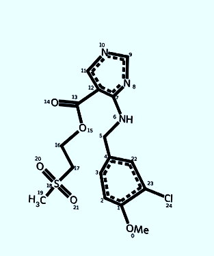 COc1ccc(CNc2ncncc2C(=O)OCCS(C)(=O)=O)cc1Cl